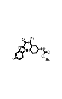 CCN(C(=O)c1nc2cc(F)ccc2[nH]1)C1CCCC(NC(=O)OC(C)(C)C)C1